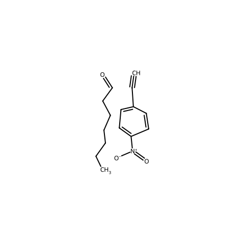 C#Cc1ccc([N+](=O)[O-])cc1.CCCCCCC=O